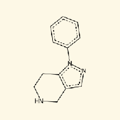 c1ccc(-n2ncc3c2CCNC3)cc1